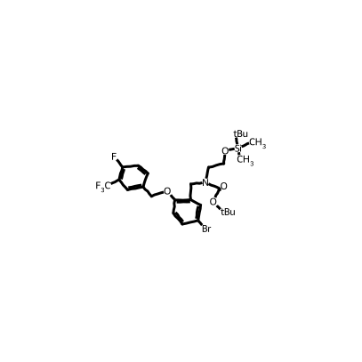 CC(C)(C)OC(=O)N(CCO[Si](C)(C)C(C)(C)C)Cc1cc(Br)ccc1OCc1ccc(F)c(C(F)(F)F)c1